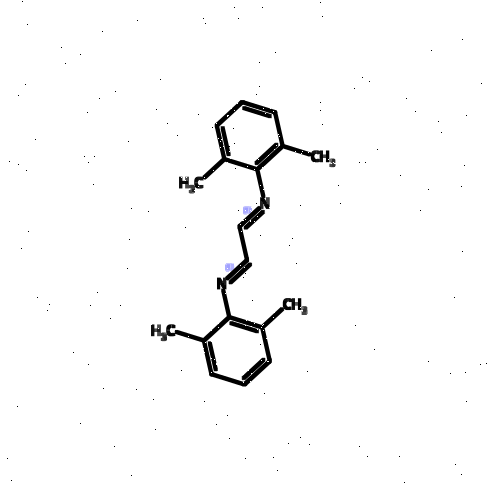 Cc1cccc(C)c1/N=C/C=N/c1c(C)cccc1C